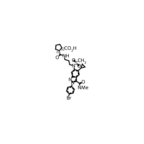 CNC(=O)c1c2cc(C3CC3)c(N(CCCNC(=O)[C@H]3CCC[C@@H]3C(=O)O)S(C)(=O)=O)cc2nn1-c1ccc(Br)cc1